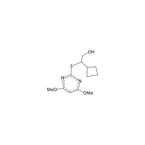 COc1cc(OC)nc(SC(CO)C2CCC2)n1